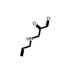 C=CCNCC(=O)C=O